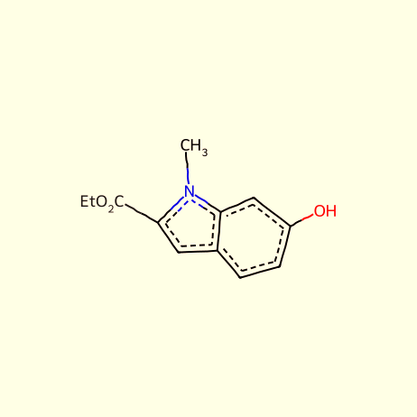 CCOC(=O)c1cc2ccc(O)cc2n1C